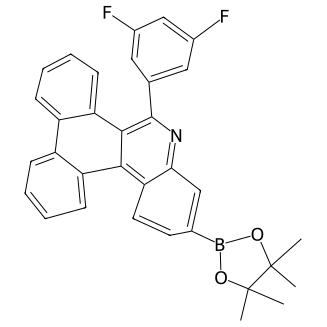 CC1(C)OB(c2ccc3c(c2)nc(-c2cc(F)cc(F)c2)c2c4ccccc4c4ccccc4c32)OC1(C)C